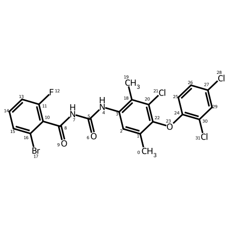 Cc1cc(NC(=O)NC(=O)c2c(F)cccc2Br)c(C)c(Cl)c1Oc1ccc(Cl)cc1Cl